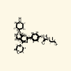 O=C(NCCF)Nc1ccc(-c2nc(N3CCOCC3)c3cnn(C4CCNCC4)c3n2)cc1